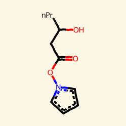 CCCC(O)CC(=O)On1cccc1